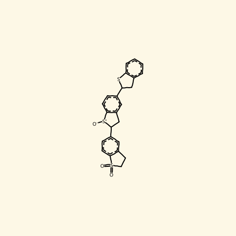 O=S1(=O)CCc2cc(C3Cc4cc(C5Cc6ccccc6S5)ccc4[S+]3[O-])ccc21